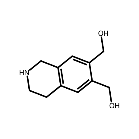 OCc1cc2c(cc1CO)CNCC2